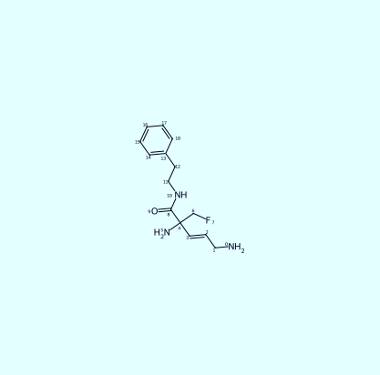 NC/C=C/C(N)(CF)C(=O)NCCc1ccccc1